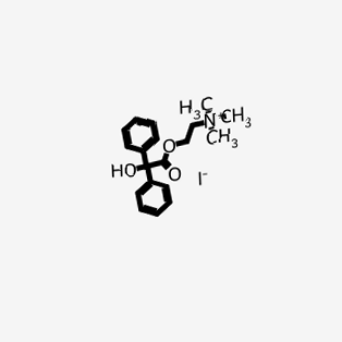 C[N+](C)(C)CCOC(=O)C(O)(c1ccccc1)c1ccccc1.[I-]